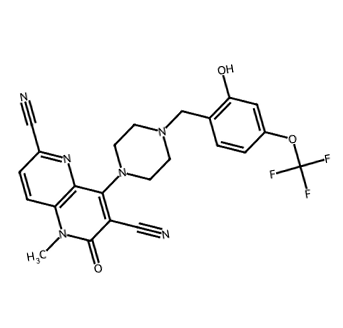 Cn1c(=O)c(C#N)c(N2CCN(Cc3ccc(OC(F)(F)F)cc3O)CC2)c2nc(C#N)ccc21